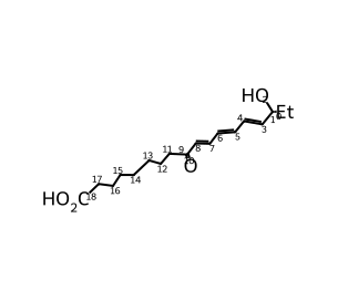 CC[C@H](O)/C=C/C=C/C=C/C(=O)CCCCCCCC(=O)O